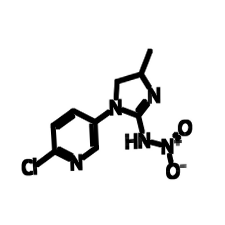 CC1CN(c2ccc(Cl)nc2)C(N[N+](=O)[O-])=N1